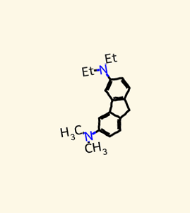 CCN(CC)c1ccc2c(c1)-c1cc(N(C)C)ccc1C2